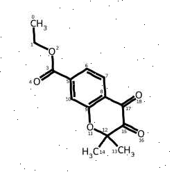 CCOC(=O)c1ccc2c(c1)OC(C)(C)C(=O)C2=O